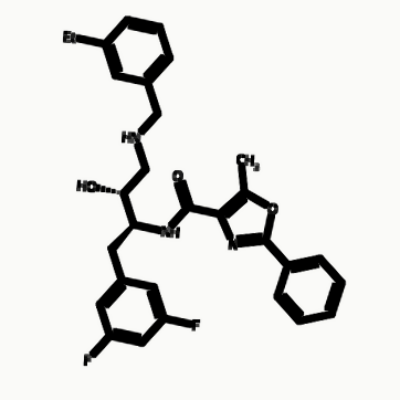 CCc1cccc(CNC[C@@H](O)[C@H](Cc2cc(F)cc(F)c2)NC(=O)c2nc(-c3ccccc3)oc2C)c1